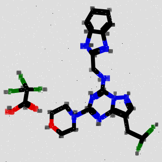 FC(F)Cc1cnn2c(NCc3nc4ccccc4[nH]3)nc(N3CCOCC3)nc12.O=C(O)C(F)(F)F